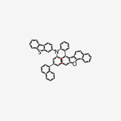 c1cc(-c2cccc3ccccc23)cc(N(c2ccc3c(c2)sc2ccccc23)c2ccccc2-c2cccc3oc4c5ccccc5ccc4c23)c1